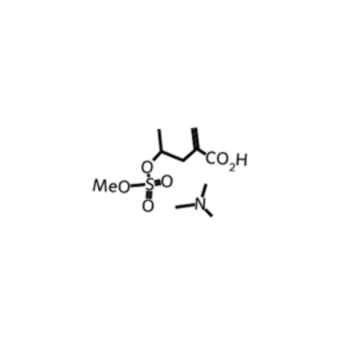 C=C(CC(C)OS(=O)(=O)OC)C(=O)O.CN(C)C